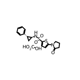 O=C(O)O.O=C1CCCN1c1ccc(S(=O)(=O)N[C@H]2C[C@@H]2c2ccccc2)s1